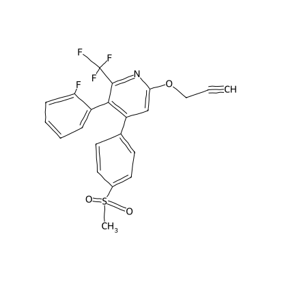 C#CCOc1cc(-c2ccc(S(C)(=O)=O)cc2)c(-c2ccccc2F)c(C(F)(F)F)n1